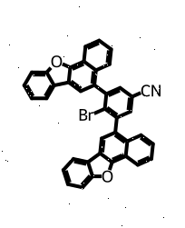 N#Cc1cc(-c2cc3c4ccccc4oc3c3ccccc23)c(Br)c(-c2cc3c4ccccc4oc3c3ccccc23)c1